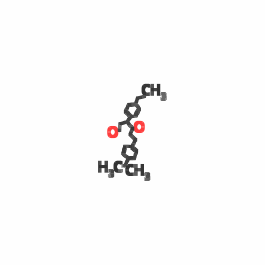 CCCc1ccc(C(CC=O)C(=O)CCc2ccc(C(C)C)cc2)cc1